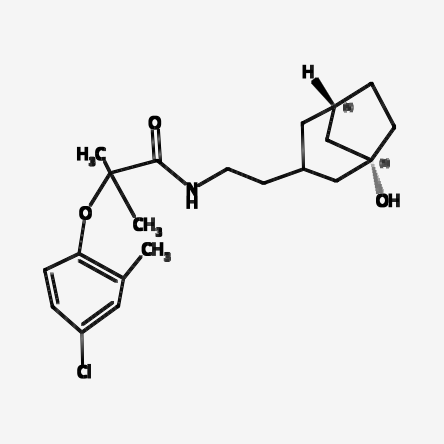 Cc1cc(Cl)ccc1OC(C)(C)C(=O)NCCC1C[C@@H]2CC[C@@](O)(C1)C2